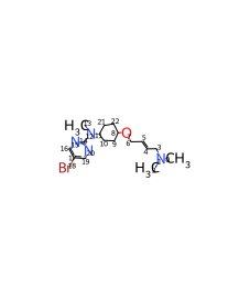 CN(C)CC=CCO[C@H]1CC[C@H](N(C)c2ncc(Br)cn2)CC1